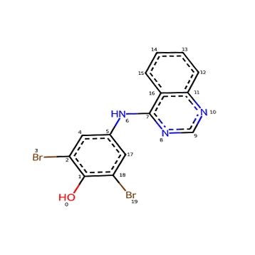 Oc1c(Br)cc(Nc2ncnc3ccccc23)cc1Br